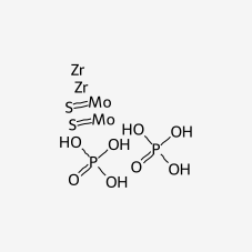 O=P(O)(O)O.O=P(O)(O)O.[S]=[Mo].[S]=[Mo].[Zr].[Zr]